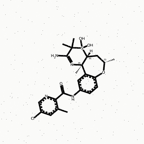 Cc1cc(Cl)cnc1C(=O)Nc1ccc2c(c1)[C@@]1(C)N=C(N)C(C)(C)S(O)(O)[C@@H]1C[C@H](C)O2